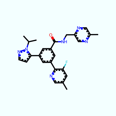 Cc1cnc(-c2cc(C(=O)NCc3cnc(C)cn3)cc(-c3ccnn3C(C)C)c2)c(F)c1